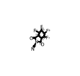 N#CN1C(=O)c2c(F)c(F)c(F)c(F)c2C1=O